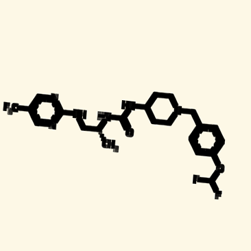 C[C@H](CNc1ncc(C(F)(F)F)cn1)NC(=O)NC1CCN(Cc2ccc(OC(F)F)cc2)CC1